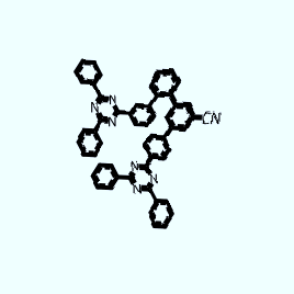 N#Cc1cc(-c2ccc(-c3nc(-c4ccccc4)nc(-c4ccccc4)n3)cc2)cc(-c2ccccc2-c2cccc(-c3nc(-c4ccccc4)nc(-c4ccccc4)n3)c2)c1